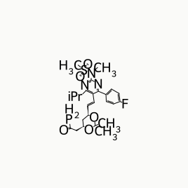 CC(C)c1nc(N(C)S(C)(=O)=O)nc(-c2ccc(F)cc2)c1/C=C/[C@@H]1C[C@H](CC(=O)P)OC(C)(C)O1